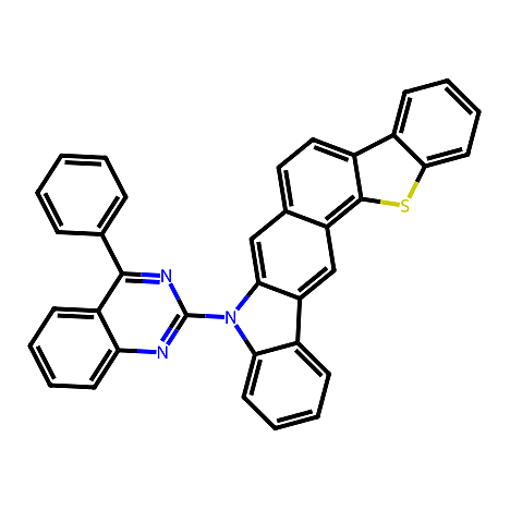 c1ccc(-c2nc(-n3c4ccccc4c4cc5c(ccc6c7ccccc7sc56)cc43)nc3ccccc23)cc1